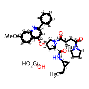 C=CC1CC1NC(=O)[C@@H]1C[C@@H](Oc2cc(-c3ccccc3)nc3cc(OC)ccc23)CN1C(=O)[C@@H](CC(=O)N1CCCC1)C(C)(C)C.O=C(O)O